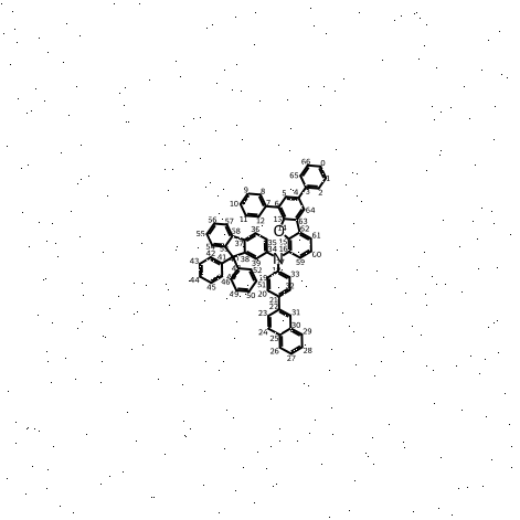 c1ccc(-c2cc(-c3ccccc3)c3oc4c(N(c5ccc(-c6ccc7ccccc7c6)cc5)c5ccc6c(c5)C(c5ccccc5)(c5ccccc5)c5ccccc5-6)cccc4c3c2)cc1